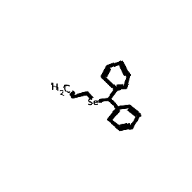 C=CC[Se]C(c1ccccc1)c1ccccc1